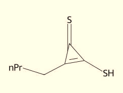 CCCCc1c(S)c1=S